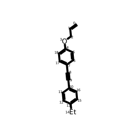 C=CCOc1ccc(C#Cc2ccc(CC)cc2)cc1